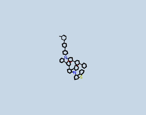 CC1C=CC=C(c2ccc(-c3ccc(N(c4ccc(-c5ccc(-c6ccccc6)cc5)cc4)c4ccccc4-c4cccc(-c5cccc6c5c5ccccc5n6-c5cccc6sc7ccccc7c56)c4)cc3)cc2)C1